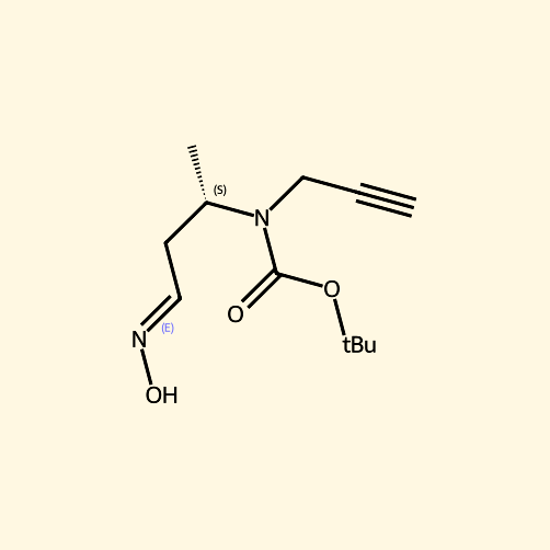 C#CCN(C(=O)OC(C)(C)C)[C@@H](C)C/C=N/O